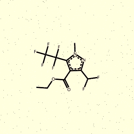 CCOC(=O)c1c(C(F)F)nn(C)c1C(F)(F)C(F)(F)F